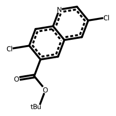 CC(C)(C)OC(=O)c1cc2cc(Cl)cnc2cc1Cl